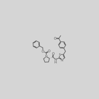 CC(=O)c1ccc(Cc2cnc(NC(=O)[C@@H]3CCCN3C(=O)OCc3ccccc3)s2)cc1